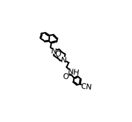 N#Cc1ccc(C(=O)NCCN2CC3CN(Cc4cccc5ccccc45)CC(C2)O3)cc1